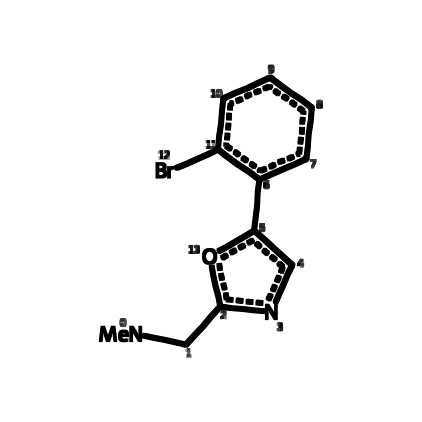 CNCc1ncc(-c2ccccc2Br)o1